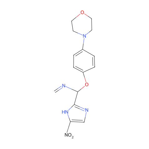 C=NC(Oc1ccc(N2CCOCC2)cc1)c1ncc([N+](=O)[O-])[nH]1